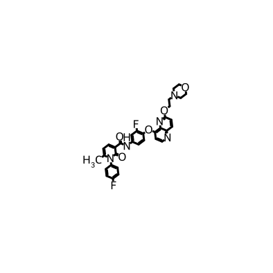 Cc1ccc(C(=O)Nc2ccc(Oc3ccnc4ccc(OCCN5CCOCC5)nc34)c(F)c2)c(=O)n1-c1ccc(F)cc1